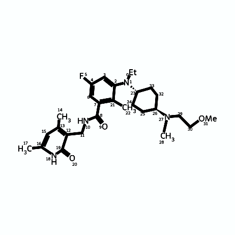 CCN(c1cc(F)cc(C(=O)NCc2c(C)cc(C)[nH]c2=O)c1C)[C@H]1CC[C@H](N(C)CCOC)CC1